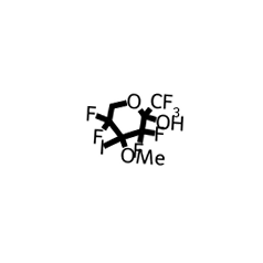 COC1(I)C(F)(F)COC(O)(C(F)(F)F)C1(F)F